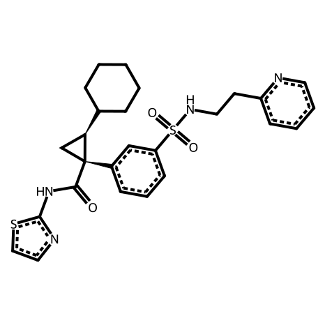 O=C(Nc1nccs1)[C@]1(c2cccc(S(=O)(=O)NCCc3ccccn3)c2)C[C@H]1C1CCCCC1